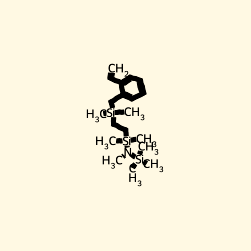 C=Cc1ccccc1C[Si](C)(C)CC[Si](C)(C)N(C)[Si](C)(C)C